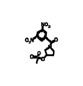 CS(=O)(=O)OC1CCN(C(=O)c2cc([N+](=O)[O-])cc([N+](=O)[O-])c2)C1